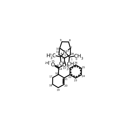 CC(C)[N+]1(C(C)C)C2CCC1CC(OC(=O)C1CCCC=C1c1ccccc1)C2.[I-]